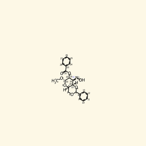 CO[C@H]1O[C@@H]2COC(c3ccccc3)O[C@H]2/C(=N\O)[C@@H]1OC(=O)c1ccccc1